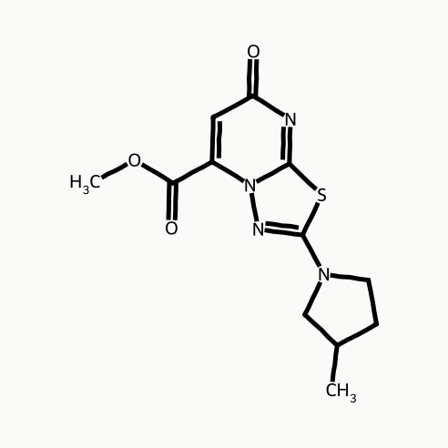 COC(=O)c1cc(=O)nc2sc(N3CCC(C)C3)nn12